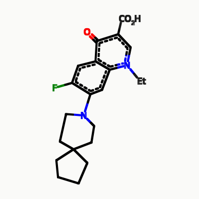 CCn1cc(C(=O)O)c(=O)c2cc(F)c(N3CCC4(CCCC4)CC3)cc21